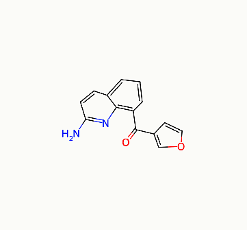 Nc1ccc2cccc(C(=O)c3ccoc3)c2n1